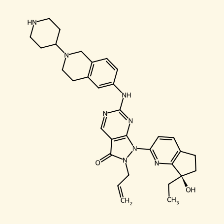 C=CCn1c(=O)c2cnc(Nc3ccc4c(c3)CCN(C3CCNCC3)C4)nc2n1-c1ccc2c(n1)[C@@](O)(CC)CC2